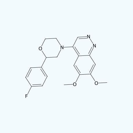 COc1cc2nncc(N3CCOC(c4ccc(F)cc4)C3)c2cc1OC